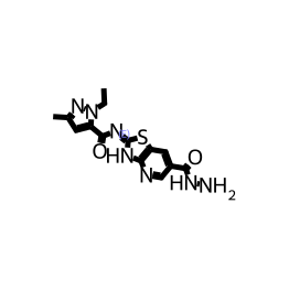 CCn1nc(C)cc1C(=O)/N=c1\[nH]c2ncc(C(=O)NN)cc2s1